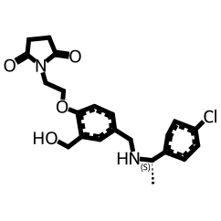 C[C@H](NCc1ccc(OCCN2C(=O)CCC2=O)c(CO)c1)c1ccc(Cl)cc1